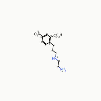 NCCNCCCc1ccc([N+](=O)[O-])cc1C(=O)O